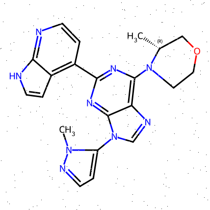 C[C@@H]1COCCN1c1nc(-c2ccnc3[nH]ccc23)nc2c1ncn2-c1ccnn1C